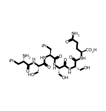 CC(C)C[C@H](NC(=O)[C@H](CO)NC(=O)[C@@H](N)CC(C)C)C(=O)N[C@@H](CO)C(=O)N[C@@H](CO)C(=O)N[C@@H](CCC(N)=O)C(=O)O